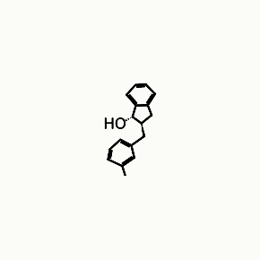 Cc1cccc(C[C@@H]2Cc3ccccc3[C@H]2O)c1